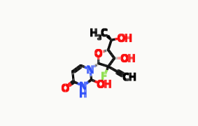 C#CC1(F)[C@@H](O)[C@@H]([C@@H](C)O)O[C@H]1N1C=CC(=O)NC1O